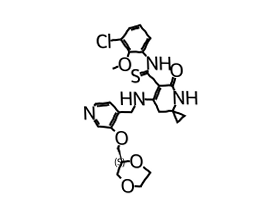 COc1c(Cl)cccc1NC(=S)C1=C(NCc2ccncc2OC[C@@H]2COCCO2)CC2(CC2)NC1=O